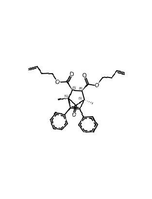 C=CCCOC(=O)[C@@H]1[C@H](C(=O)OCCC=C)[C@]2(C)C(=O)[C@]1(C)C(c1ccccc1)=C2c1ccccc1